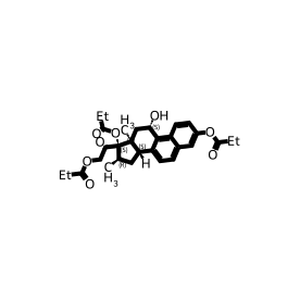 CCC(=O)OCC(=O)[C@]1(OC(=O)CC)[C@H](C)C[C@H]2c3ccc4cc(OC(=O)CC)ccc4c3[C@@H](O)C[C@@]21C